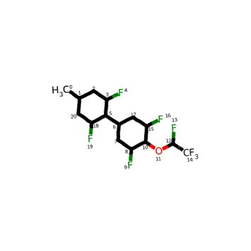 CC1CC(F)C(C2CC(F)C(OC(F)C(F)(F)F)C(F)C2)C(F)C1